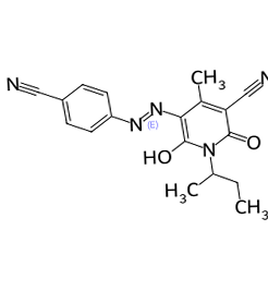 CCC(C)n1c(O)c(/N=N/c2ccc(C#N)cc2)c(C)c(C#N)c1=O